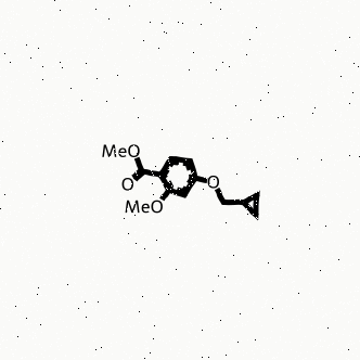 COC(=O)c1ccc(OCC2CC2)cc1OC